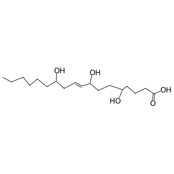 CCCCCCC(O)C/C=C/C(O)CCC(O)CCCC(=O)O